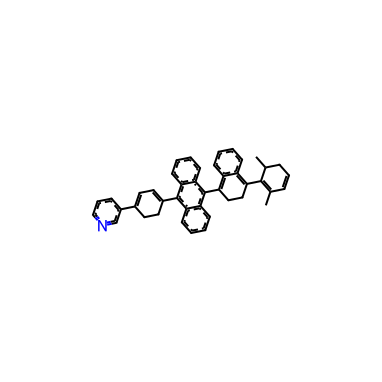 CC1=C(C2=c3ccccc3=C(c3c4ccccc4c(C4=CC=C(c5cccnc5)CC4)c4ccccc34)CC2)C(C)CC=C1